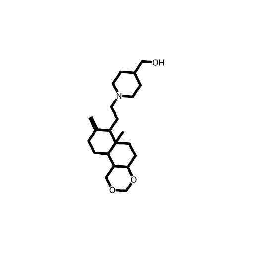 C=C1CCC2C3COCOC3CCC2(C)C1CCN1CCC(CO)CC1